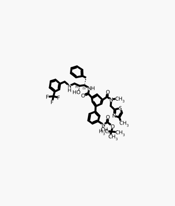 Cc1csc(CN(C)C(=O)c2cc(C(=O)N[C@@H](Cc3ccccc3)[C@H](O)CNCc3cccc(C(F)(F)F)c3)cc(-c3cccc(N(C)C(=O)OC(C)(C)C)c3)c2)n1